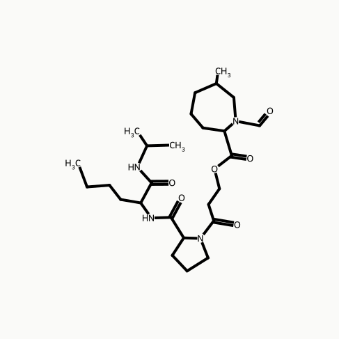 CCCCC(NC(=O)C1CCCN1C(=O)CCOC(=O)C1CCCC(C)CN1C=O)C(=O)NC(C)C